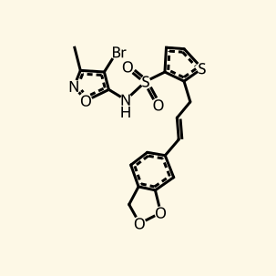 Cc1noc(NS(=O)(=O)c2ccsc2C/C=C/c2ccc3c(c2)OOC3)c1Br